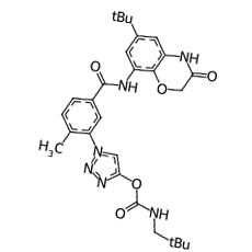 Cc1ccc(C(=O)Nc2cc(C(C)(C)C)cc3c2OCC(=O)N3)cc1-n1cc(OC(=O)NCC(C)(C)C)nn1